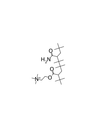 CC(C)(C)CC(C(N)=O)C(C)(C)C(C)(C)CC(C(=O)OCC[N+](C)(C)C)C(C)(C)C